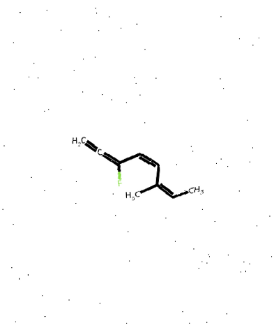 C=C=C(F)/C=C\C(C)=C/C